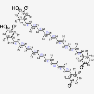 CC1=C(/C=C/C(C)=C/C=C/C(C)=C/C=C/C=C(C)/C=C/C=C(C)/C=C/C2=C(C)C(=O)C(O)CC2(C)C)C(C)(C)CCC1=O.CC1=C(/C=C/C(C)=C/C=C/C(C)=C/C=C/C=C(C)/C=C/C=C(C)/C=C/C2=C(C)C(=O)C(O)CC2(C)C)C(C)(C)CCC1=O